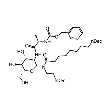 CCCCCCCCCCCCCCCCCC(=O)N(CCCCCCCCCCCC)[C@@H]1O[C@H](CO)[C@@H](O)[C@H](O)[C@H]1NC(=O)[C@@H](C)NC(=O)OCc1ccccc1